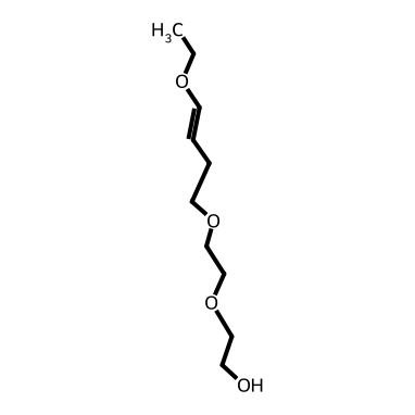 CCOC=CCCOCCOCCO